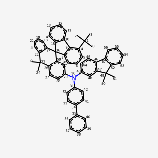 CC(C)(C)c1cccc2c1-c1ccccc1C21c2ccccc2C(C)(C)c2ccc(N(c3ccc(-c4ccccc4)cc3)c3ccc4c(c3)C(C)(C)c3ccccc3-4)cc21